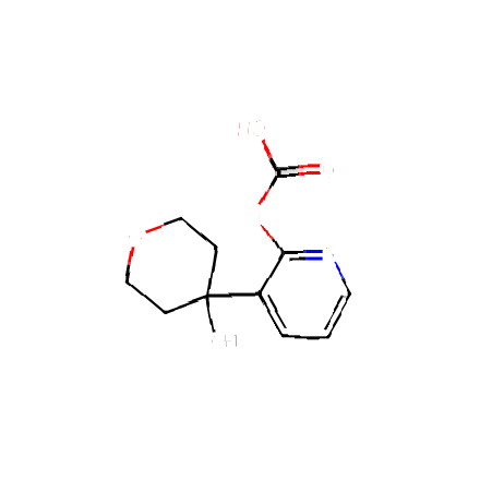 CC1(c2cccnc2OC(=O)O)CCOCC1